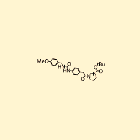 COc1ccc(CNC(=O)Nc2ccc(CC(=O)N3CCCN(C(=O)OC(C)(C)C)C3)cc2)cc1